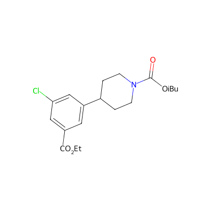 CCOC(=O)c1cc(Cl)cc(C2CCN(C(=O)OCC(C)C)CC2)c1